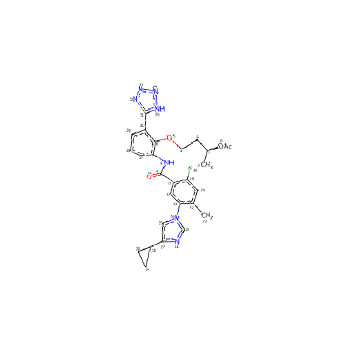 CC(=O)O[C@@H](C)CCOc1c(NC(=O)c2cc(-n3cnc(C4CC4)c3)c(C)cc2F)cccc1-c1nnn[nH]1